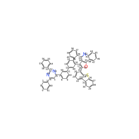 c1ccc(-c2cc(-c3cccc(-c4cccc(-c5c(-c6cccc7c6sc6ccccc67)oc6c5c(-c5ccccc5)nc5ccccc56)c4)c3)nc(-c3ccccc3)n2)cc1